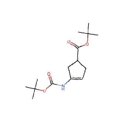 CC(C)(C)OC(=O)NC1=CCC(C(=O)OC(C)(C)C)C1